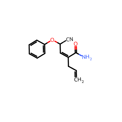 C=CCC(=CC(C#N)Oc1ccccc1)C(N)=O